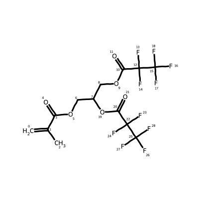 C=C(C)C(=O)OCC(COC(=O)C(F)(F)C(F)(F)F)OC(=O)C(F)(F)C(F)(F)F